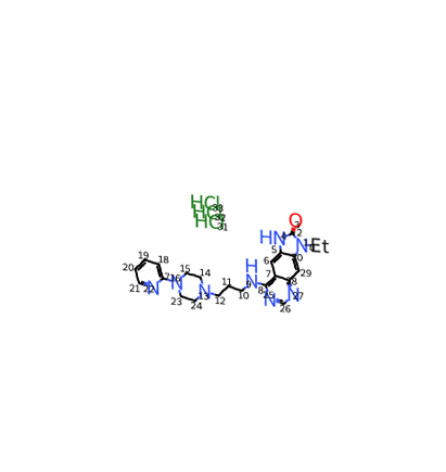 CCn1c(=O)[nH]c2cc3c(NCCCN4CCN(c5ccccn5)CC4)ncnc3cc21.Cl.Cl.Cl